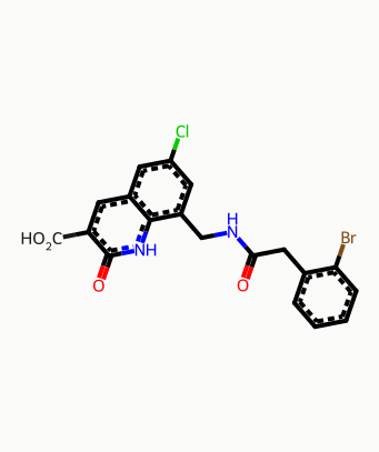 O=C(Cc1ccccc1Br)NCc1cc(Cl)cc2cc(C(=O)O)c(=O)[nH]c12